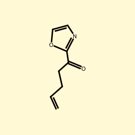 C=CCCC(=O)c1ncco1